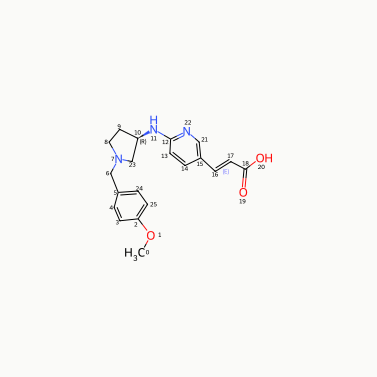 COc1ccc(CN2CC[C@@H](Nc3ccc(/C=C/C(=O)O)cn3)C2)cc1